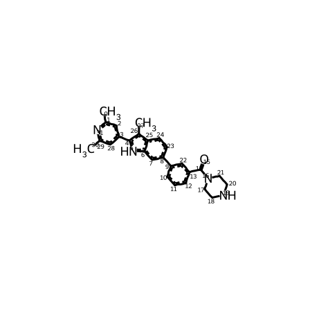 Cc1cc(-c2[nH]c3cc(-c4cccc(C(=O)N5CCNCC5)c4)ccc3c2C)cc(C)n1